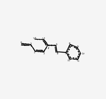 C=C\C=C/C(/C=C/c1ccccc1)=C\C